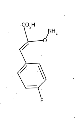 NOC(=Cc1ccc(F)cc1)C(=O)O